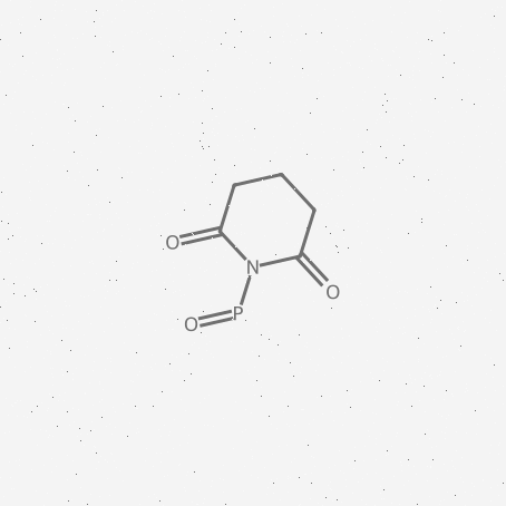 O=PN1C(=O)CCCC1=O